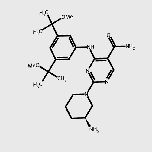 COC(C)(C)c1cc(Nc2nc(N3CCC[C@H](N)C3)ncc2C(N)=O)cc(C(C)(C)OC)c1